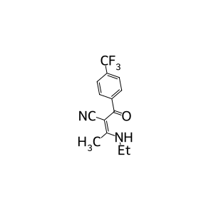 CCN/C(C)=C(/C#N)C(=O)c1ccc(C(F)(F)F)cc1